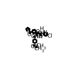 CN(C)C(=O)[C@H]1CC[C@H](C(=O)Nc2c(C(=O)Nc3ccc(Cl)cn3)oc3ccc(C(=O)N4CCCC4)cc23)CC1